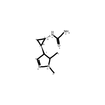 CC1C([C@H]2C[C@@H]2NC(N)=O)C=NN1C